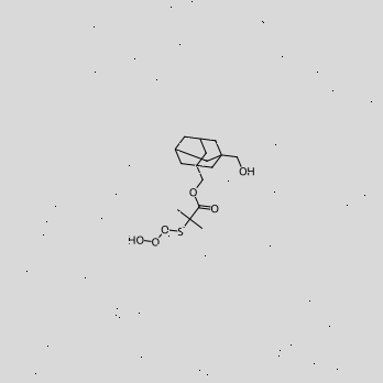 CC(C)(SOOO)C(=O)OCC12CC3CC(CC(CO)(C3)C1)C2